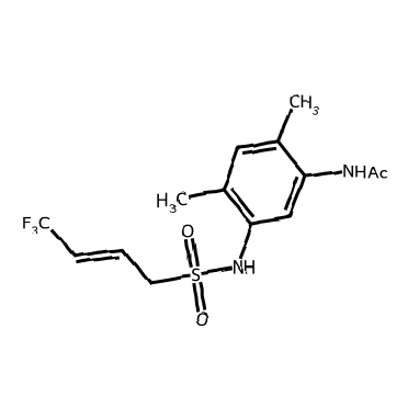 CC(=O)Nc1cc(NS(=O)(=O)CC=CC(F)(F)F)c(C)cc1C